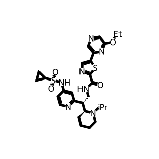 CCOc1cncc(-c2cnc(C(=O)NC[C@@H](c3cc(NS(=O)(=O)C4CC4)ccn3)[C@@H]3CCCCN3C(C)C)s2)n1